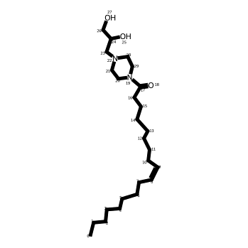 CCCCCCCC/C=C\CCCCCCCC(=O)N1CCN(CC(O)CO)CC1